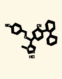 Cl.Cn1cncc1C(OCc1ccc(C#N)cc1)c1ccc(-c2ccccc2-c2ccccc2)c(C#N)c1